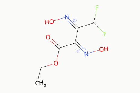 CCOC(=O)C(=N/O)/C(=N\O)C(F)F